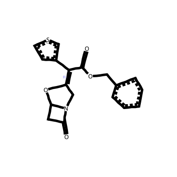 O=C(OCc1ccccc1)/C(=C1\CN2C(=O)CC2O1)c1ccsc1